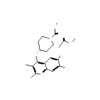 CC(C)(C)OC(=O)C[C@@H]1C[C@@H](Nc2c([N+](=O)[O-])c(Cl)nc3cc(Br)c(Cl)cc23)CCN1C(=O)OC(C)(C)C